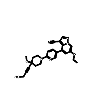 CCOc1cc(-c2ccc(N3CCC(C#CCO)(OC)CC3)nc2)c2c(C#N)cnn2c1